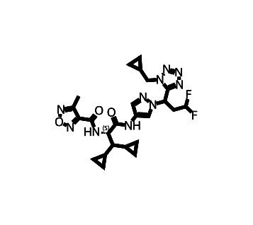 Cc1nonc1C(=O)N[C@H](C(=O)Nc1cnn(C(CC(F)F)c2nnnn2CC2CC2)c1)C(C1CC1)C1CC1